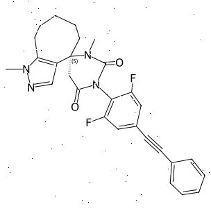 CN1C(=O)N(c2c(F)cc(C#Cc3ccccc3)cc2F)C(=O)C[C@]12CCCCCc1c2cnn1C